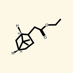 CCOC(=O)CC1CC[C@@H]2C[C@H]1C2(C)C